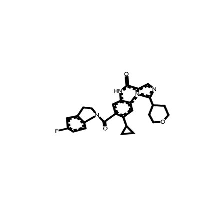 O=C(c1cc2[nH]c(=O)c3cnc(C4CCOCC4)n3c2cc1C1CC1)N1CCc2cc(F)ccc21